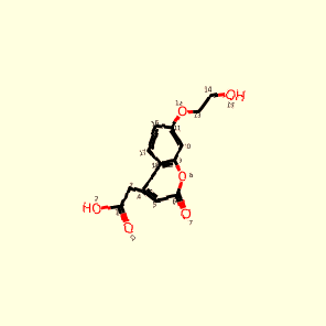 O=C(O)Cc1cc(=O)oc2cc(OCCO)ccc12